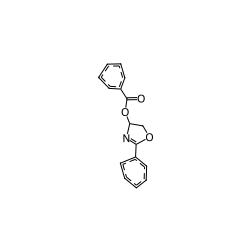 O=C(OC1COC(c2ccccc2)=N1)c1ccccc1